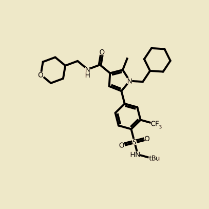 Cc1c(C(=O)NCC2CCOCC2)cc(-c2ccc(S(=O)(=O)NC(C)(C)C)c(C(F)(F)F)c2)n1CC1CCCCC1